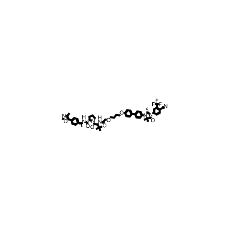 Cc1ncoc1-c1ccc([C@H](C)NC(=O)[C@@H]2CCCN2C(=O)[C@@H](NC(=O)COCCCCOc2ccc(-c3ccc(N4C(=S)N(c5ccc(C#N)c(C(F)(F)F)c5)C(=O)C4(C)C)cc3)cc2)C(C)(C)C)cc1